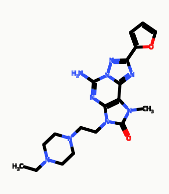 CCN1CCN(CCn2c(=O)n(C)c3c2nc(N)n2nc(-c4ccco4)nc32)CC1